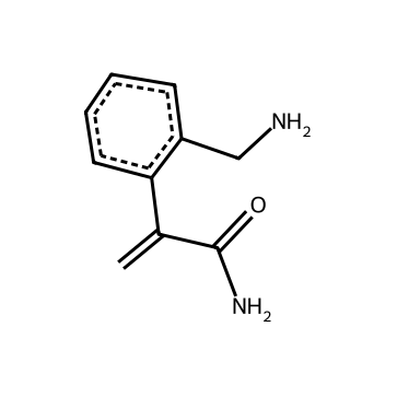 C=C(C(N)=O)c1ccccc1CN